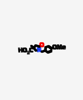 COc1ccc(CN2CC(C)(C(=O)O)CC2=O)cc1